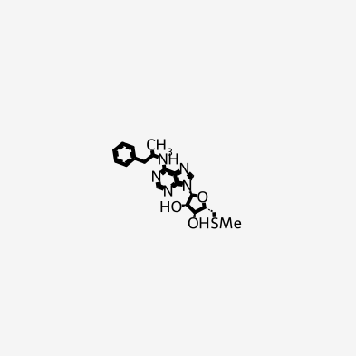 CSC[C@H]1O[C@H](n2cnc3c(NC(C)Cc4ccccc4)ncnc32)[C@H](O)[C@@H]1O